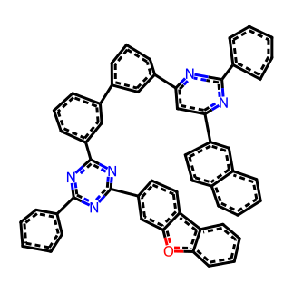 c1ccc(-c2nc(-c3cccc(-c4cccc(-c5nc(-c6ccccc6)nc(-c6ccc7c(c6)oc6ccccc67)n5)c4)c3)cc(-c3ccc4ccccc4c3)n2)cc1